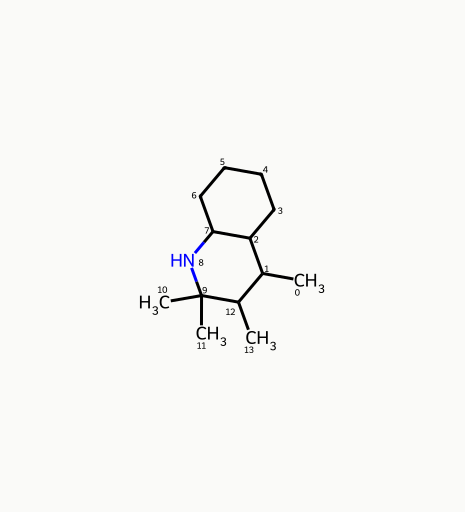 CC1C2CCCCC2NC(C)(C)C1C